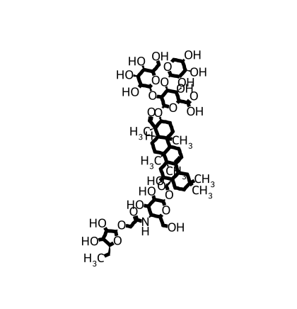 CC[C@@H]1O[C@@H](OCC(=O)N[C@H]2C(CO)O[C@@H](OC(=O)[C@]34CCC(C)(C)CC3C3=CCC5C6(C)CC[C@H](O[C@@H]7OC(C(=O)O)[C@@H](O)[C@H](O[C@@H]8OC[C@@H](O)[C@H](O)C8O)C7O[C@@H]7OC(CO)[C@H](O)[C@H](O)C7O)[C@](C)(C=O)[C@@H]6CC[C@]5(C)[C@]3(C)CC4O)C(O)C2O)C(O)C1O